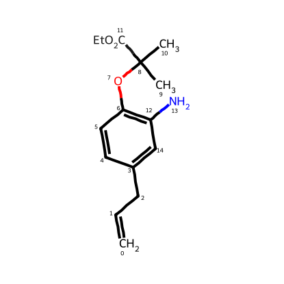 C=CCc1ccc(OC(C)(C)C(=O)OCC)c(N)c1